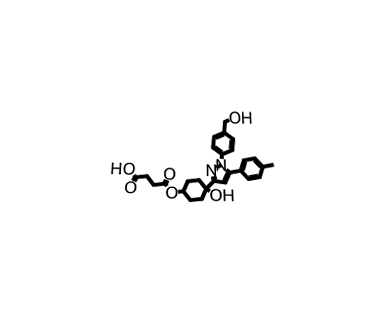 Cc1ccc(-c2cc(C3(O)CCC(OC(=O)CCC(=O)O)CC3)nn2-c2ccc(CO)cc2)cc1